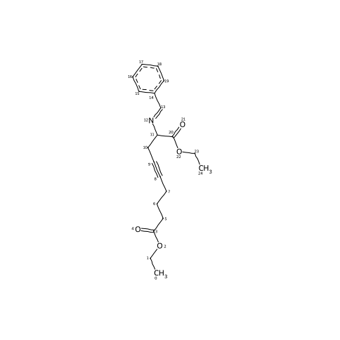 CCOC(=O)CCCC#CCC(N=Cc1ccccc1)C(=O)OCC